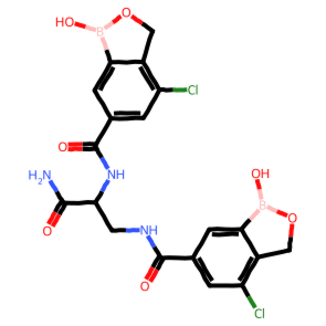 NC(=O)C(CNC(=O)c1cc(Cl)c2c(c1)B(O)OC2)NC(=O)c1cc(Cl)c2c(c1)B(O)OC2